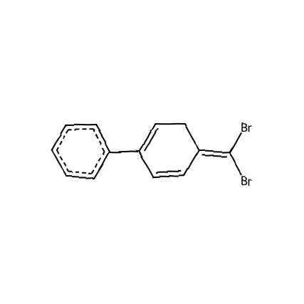 BrC(Br)=C1C=CC(c2ccccc2)=CC1